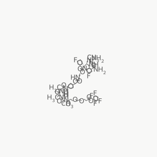 CC(NC(=O)[C@H](C)NC(=O)CCOCCOCCC(=O)Oc1c(F)c(F)cc(F)c1F)C(=O)N[C@@H](C)C(=O)Nc1ccc(COC(=O)NCCOC(=O)N2c3cc(F)cc(C(N)=O)c3C(=N)[C@H](CN(C)/N=C\N)[C@H]2c2ccc(F)cc2)cc1